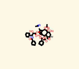 CC#N.CC(=O)O[C@H]1C(=O)[C@@]2(C)[C@H]([C@H](OC(=O)c3ccccc3)[C@]3(O)C[C@H](OC(=O)[C@H](O)[C@@H](NC(=O)c4ccccc4)c4ccccc4)C(C)=C1C3(C)C)[C@]1(OC(C)=O)CO[C@@H]1C[C@@H]2O